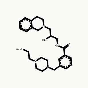 CC(=O)NCCN1CCN(Cc2cccc(C(=O)NCC(O)CN3CCc4ccccc4C3)c2)CC1